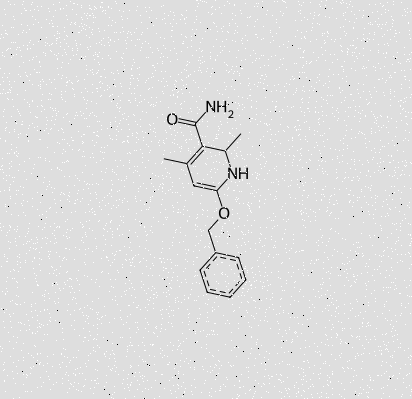 CC1=C(C(N)=O)C(C)NC(OCc2ccccc2)=C1